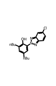 CCCCc1cc(CCCC)c(O)c(-n2nc3ccc(Cl)cc3n2)c1